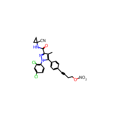 Cc1c(C(=O)NC2(C#N)CC2)nn(-c2ccc(Cl)cc2Cl)c1-c1ccc(C#CCCO[N+](=O)[O-])cc1